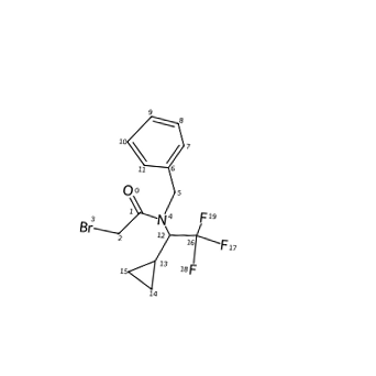 O=C(CBr)N(Cc1ccccc1)C(C1CC1)C(F)(F)F